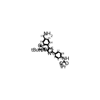 CC(C)OC(=O)Nc1ccc(-c2ncc(-c3ccc(CN)cc3S(=O)(=O)NC(C)(C)C)s2)cc1